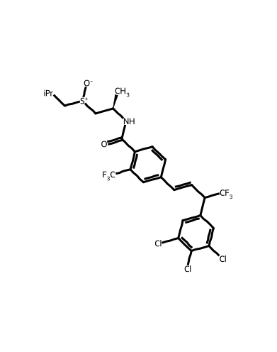 CC(C)C[S+]([O-])C[C@@H](C)NC(=O)c1ccc(/C=C/C(c2cc(Cl)c(Cl)c(Cl)c2)C(F)(F)F)cc1C(F)(F)F